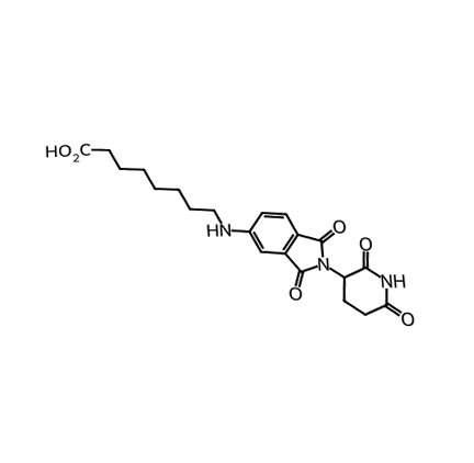 O=C(O)CCCCCCCNc1ccc2c(c1)C(=O)N(C1CCC(=O)NC1=O)C2=O